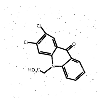 O=C(O)Cn1c2ccccc2c(=O)c2cc(Cl)c(Cl)cc21